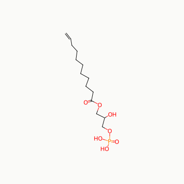 C=CCCCCCCCCC(=O)OCC(O)COP(=O)(O)O